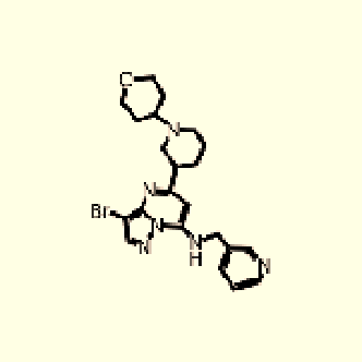 Brc1cnn2c(NCc3cccnc3)cc(C3CCCN(C4CCOCC4)C3)nc12